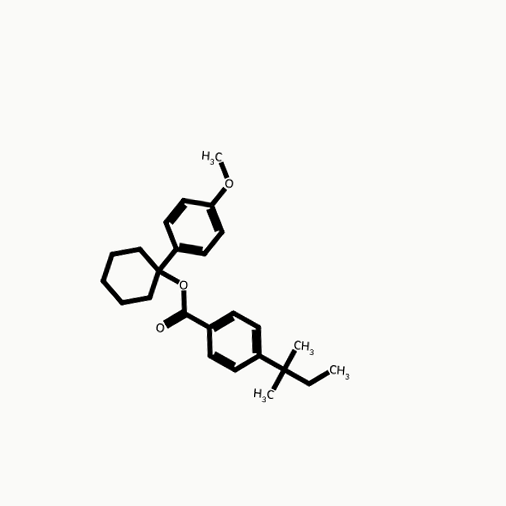 CCC(C)(C)c1ccc(C(=O)OC2(c3ccc(OC)cc3)CCCCC2)cc1